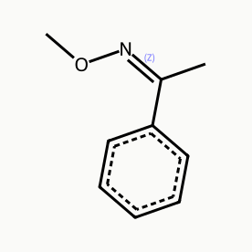 CO/N=C(/C)c1ccccc1